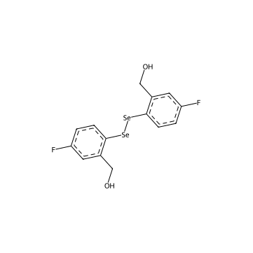 OCc1cc(F)ccc1[Se][Se]c1ccc(F)cc1CO